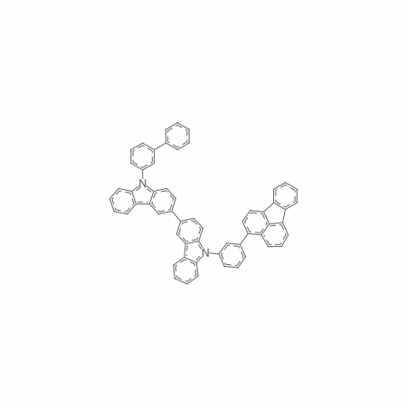 c1ccc(-c2cccc(-n3c4ccccc4c4cc(-c5ccc6c(c5)c5ccccc5n6-c5cccc(-c6ccc7c8c(cccc68)-c6ccccc6-7)c5)ccc43)c2)cc1